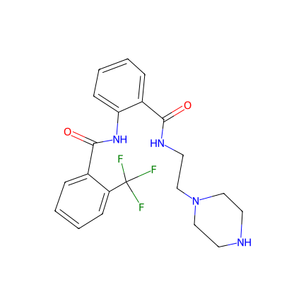 O=C(NCCN1CCNCC1)c1ccccc1NC(=O)c1ccccc1C(F)(F)F